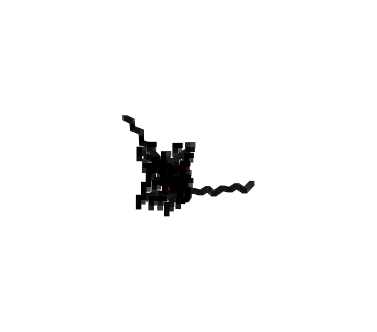 CCCCCCCCC[O][Sn]([O][Sn]([O]CCCCCCCCC)([C](F)(F)C(F)(F)CC(F)(F)F)[C](F)(F)C(F)(F)CC(F)(F)F)([C](F)(F)C(F)(F)CC(F)(F)F)[C](F)(F)C(F)(F)CC(F)(F)F